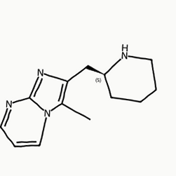 Cc1c(C[C@@H]2CCCCN2)nc2ncccn12